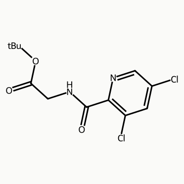 CC(C)(C)OC(=O)CNC(=O)c1ncc(Cl)cc1Cl